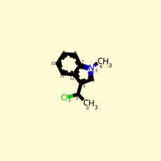 C[C](Cl)c1cn(C)c2ccccc12